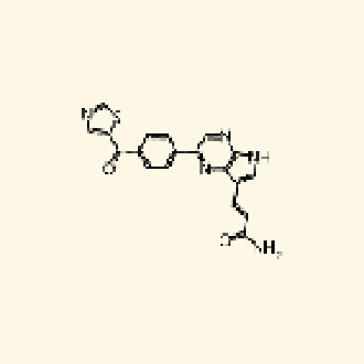 NC(=O)C=Cc1c[nH]c2ncc(-c3ccc(C(=O)c4cncs4)cc3)nc12